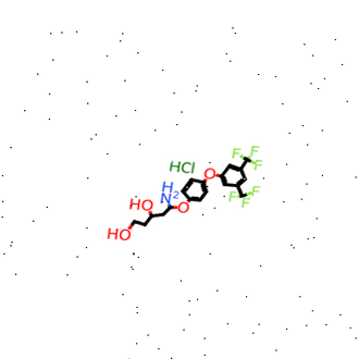 Cl.NC(CC(O)CCO)Oc1ccc(Oc2cc(C(F)(F)F)cc(C(F)(F)F)c2)cc1